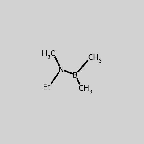 CCN(C)B(C)C